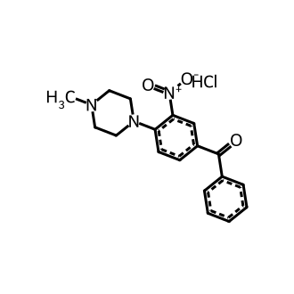 CN1CCN(c2ccc(C(=O)c3ccccc3)cc2[N+](=O)[O-])CC1.Cl